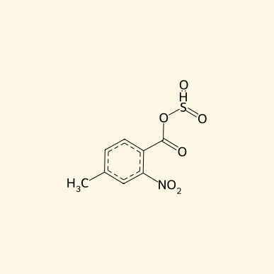 Cc1ccc(C(=O)O[SH](=O)=O)c([N+](=O)[O-])c1